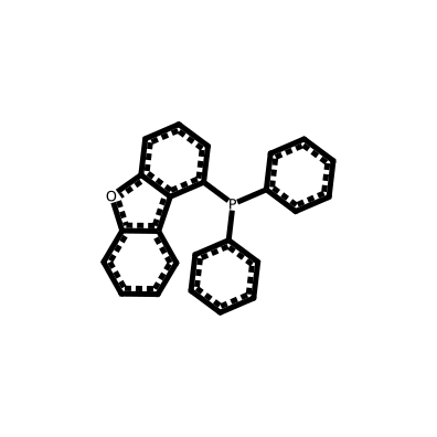 c1ccc(P(c2ccccc2)c2cccc3oc4ccccc4c23)cc1